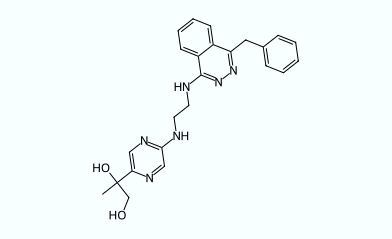 CC(O)(CO)c1cnc(NCCNc2nnc(Cc3ccccc3)c3ccccc23)cn1